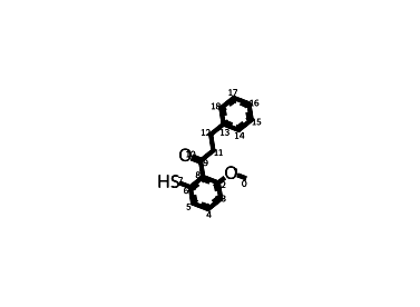 COc1cccc(S)c1C(=O)CCc1ccccc1